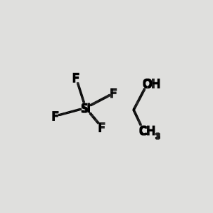 CCO.F[Si](F)(F)F